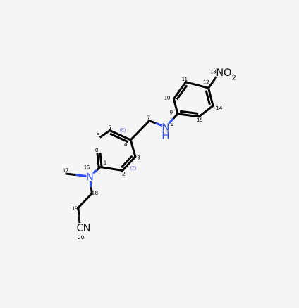 C=C(/C=C\C(=C/C)CNc1ccc([N+](=O)[O-])cc1)N(C)CCC#N